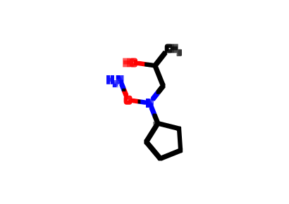 CC(O)CN(ON)[C]1CCCC1